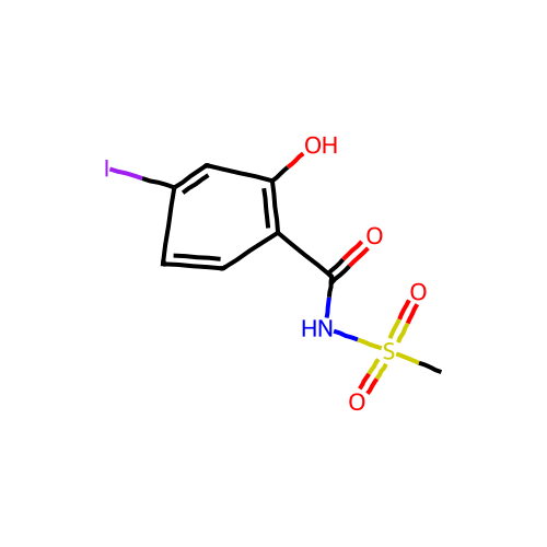 CS(=O)(=O)NC(=O)c1ccc(I)cc1O